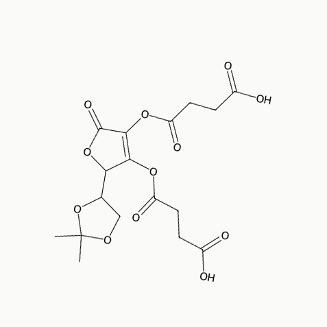 CC1(C)OCC(C2OC(=O)C(OC(=O)CCC(=O)O)=C2OC(=O)CCC(=O)O)O1